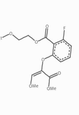 CCOCCOC(=O)c1c(F)cccc1OC(=COC)C(=O)OC